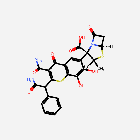 CC1(C)S[C@@H]2CC(=O)N2[C@@]1(C(=O)O)c1cc2c(=O)c(C(N)=O)c(C(C(N)=O)c3ccccc3)sc2c(O)c1O